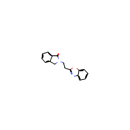 O=C1c2ccccc2CN1CCc1nc2ccccc2o1